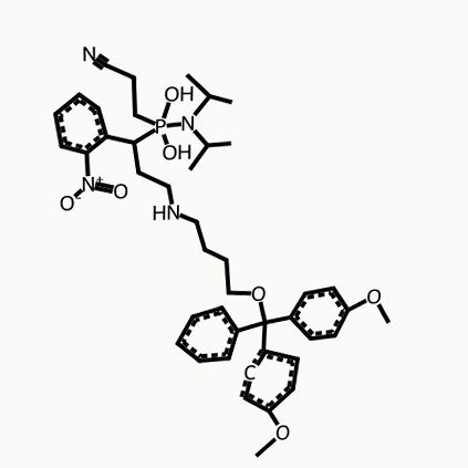 COc1ccc(C(OCCCCNCCC(c2ccccc2[N+](=O)[O-])P(O)(O)(CCC#N)N(C(C)C)C(C)C)(c2ccccc2)c2ccc(OC)cc2)cc1